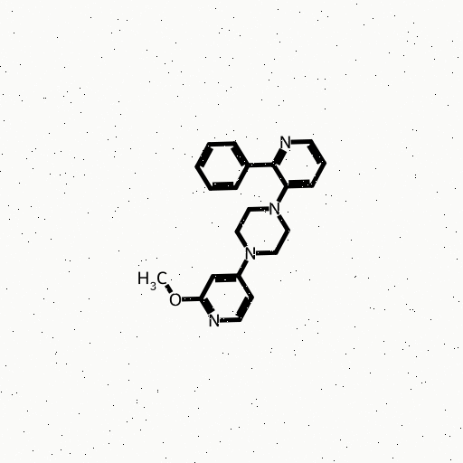 COc1cc(N2CCN(c3cccnc3-c3ccccc3)CC2)ccn1